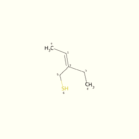 CC=C(CC)CS